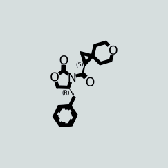 O=C1OC[C@@H](Cc2ccccc2)N1C(=O)[C@H]1CC12CCOCC2